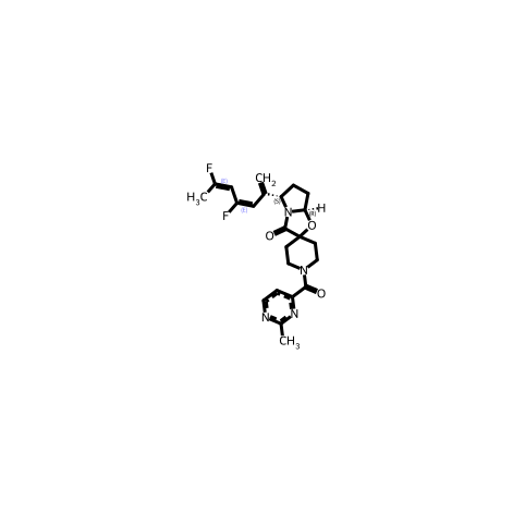 C=C(/C=C(F)\C=C(/C)F)[C@@H]1CC[C@H]2OC3(CCN(C(=O)c4ccnc(C)n4)CC3)C(=O)N21